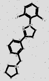 Fc1cccc(F)c1N1CCC(c2cccc(CN3CCCC3)c2)=N1